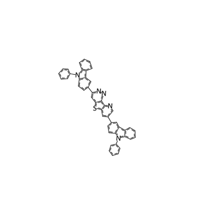 c1ccc(-n2c3ccccc3c3cc(-c4cnc5c(c4)sc4cc(-c6ccc7c(c6)c6ccccc6n7-c6ccccc6)nnc45)ccc32)cc1